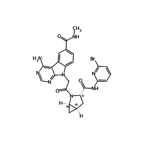 CNC(=O)c1ccc2c(c1)c1c(N)ncnc1n2CC(=O)N1[C@@H]2C[C@@H]2C[C@H]1C(=O)Nc1cccc(Br)n1